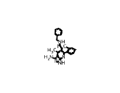 Cc1ccccc1-c1nc2[nH]nc(N)c2c(C)c1CCNCc1ccccc1